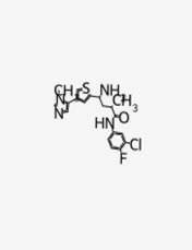 C[C@H](C[C@H](N)c1cc(-c2cncn2C)cs1)C(=O)Nc1ccc(F)c(Cl)c1